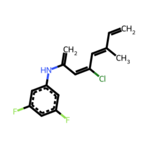 C=C/C(C)=C/C(Cl)=C\C(=C)Nc1cc(F)cc(F)c1